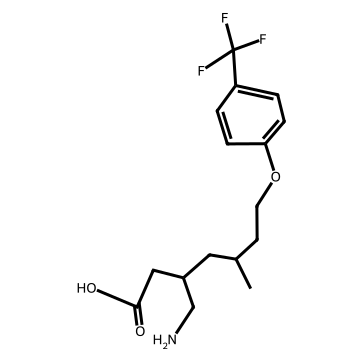 CC(CCOc1ccc(C(F)(F)F)cc1)CC(CN)CC(=O)O